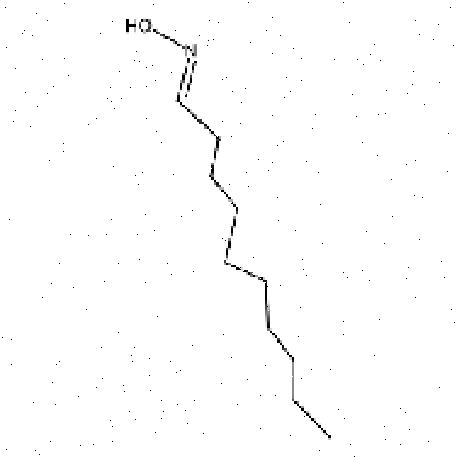 CCCCCCCCCC=NO